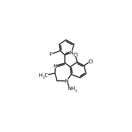 CC1CN(N)c2ccc(Cl)c(Cl)c2C(c2ncccc2F)=N1